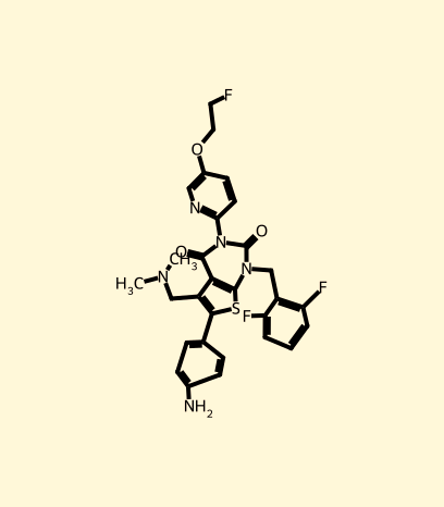 CN(C)Cc1c(-c2ccc(N)cc2)sc2c1c(=O)n(-c1ccc(OCCF)cn1)c(=O)n2Cc1c(F)cccc1F